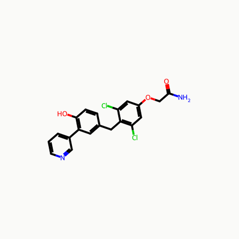 NC(=O)COc1cc(Cl)c(Cc2ccc(O)c(-c3cccnc3)c2)c(Cl)c1